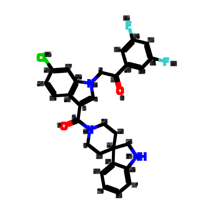 O=C(Cn1cc(C(=O)N2CCC3(CC2)CNc2ccccc23)c2ccc(Cl)cc21)c1cc(F)cc(F)c1